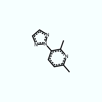 Cc1ccc(-n2nccn2)c(C)n1